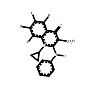 O=C(O)c1c([S+]([O-])c2ccccc2)n(C2CC2)c2c(F)c(F)c(F)c(F)c2c1=O